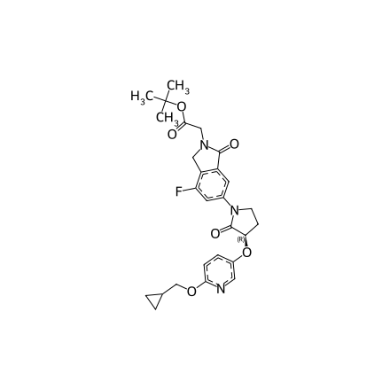 CC(C)(C)OC(=O)CN1Cc2c(F)cc(N3CC[C@@H](Oc4ccc(OCC5CC5)nc4)C3=O)cc2C1=O